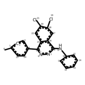 Cc1ccc(-c2nnc(Nc3ccccc3)c3cc(Cl)c(Cl)cc23)cc1